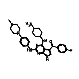 CN1CCN(c2ccc(Nc3nc(NC4CCC(N)CC4)c4c(C(=O)c5ccc(F)cc5)c[nH]c4n3)cc2)CC1